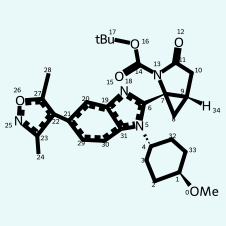 CO[C@H]1CC[C@H](n2c([C@]34C[C@H]3CC(=O)N4C(=O)OC(C)(C)C)nc3cc(-c4c(C)noc4C)ccc32)CC1